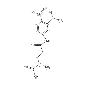 CC(O)c1cc(NC(=O)CC[C@H](N)C(=O)O)ccc1[N+](=O)[O-]